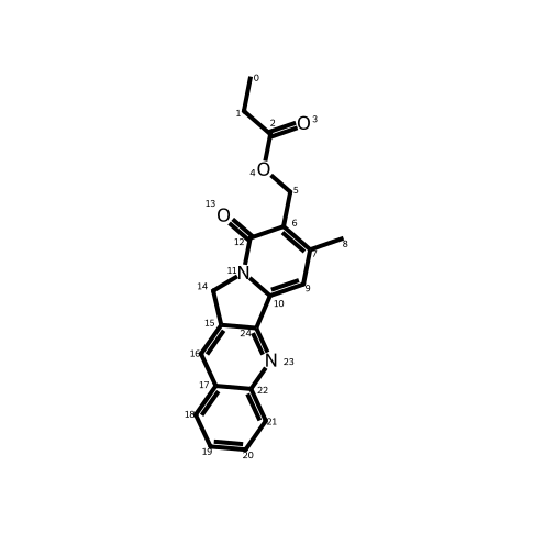 CCC(=O)OCc1c(C)cc2n(c1=O)Cc1cc3ccccc3nc1-2